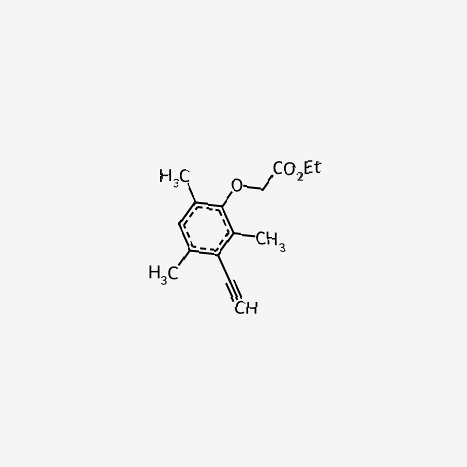 C#Cc1c(C)cc(C)c(OCC(=O)OCC)c1C